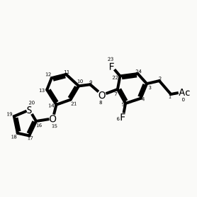 CC(=O)CCc1cc(F)c(OCc2cccc(Oc3cccs3)c2)c(F)c1